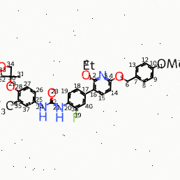 CCOc1nc(OCc2ccc(OC)cc2)ccc1-c1ccc(NC(=O)Nc2ccc(OC3(C)COC3)c(C(F)(F)F)c2)c(F)c1